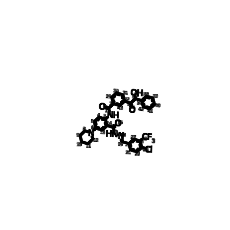 O=C(Nc1ccc(N2CCCCC2)cc1C(=O)NN=Cc1ccc(Cl)c(C(F)(F)F)c1)c1cccc(C(=O)C(O)c2ccccc2)c1